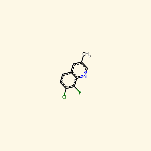 Cc1cnc2c(F)c(Cl)ccc2c1